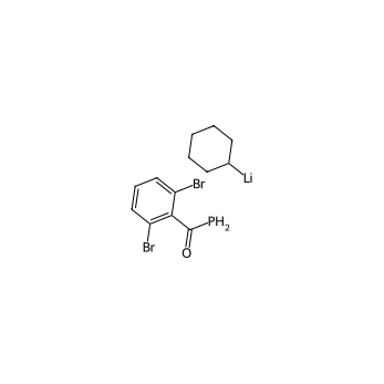 O=C(P)c1c(Br)cccc1Br.[Li][CH]1CCCCC1